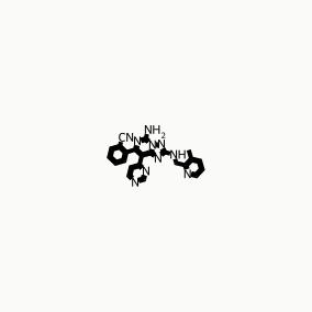 Cc1cccnc1CNc1nc2c(-c3ccncn3)c(-c3ccccc3C#N)nc(N)n2n1